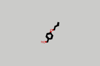 C=[C]CCOc1ccc(CO)cc1